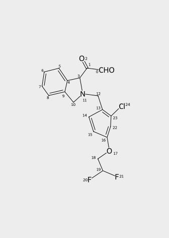 O=CC(=O)C1c2ccccc2CN1Cc1ccc(OCC(F)F)cc1Cl